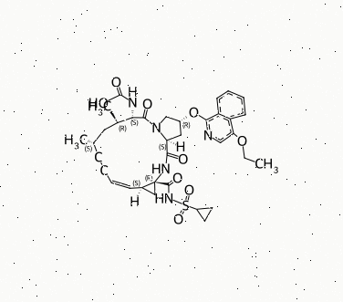 CCOc1cnc(O[C@@H]2C[C@H]3C(=O)N[C@]4(C(=O)NS(=O)(=O)C5CC5)C[C@H]4C=CCC[C@H](C)C[C@@H](C)[C@H](NC(=O)O)C(=O)N3C2)c2ccccc12